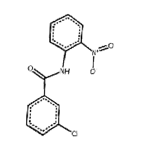 O=C(Nc1ccccc1[N+](=O)[O-])c1cccc(Cl)c1